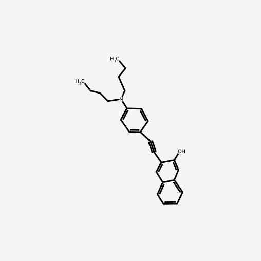 CCCCN(CCCC)c1ccc(C#Cc2cc3ccccc3cc2O)cc1